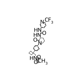 CS(=O)(=O)NCC1(c2ccc(N3CCCC(NC(=O)Nc4ccc(C(F)(F)F)nc4)C3=O)cc2)CCC1